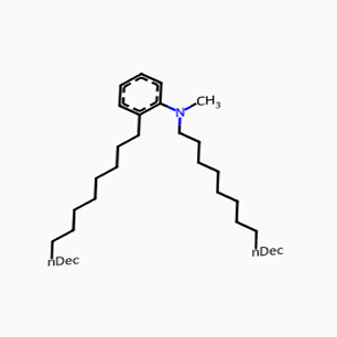 CCCCCCCCCCCCCCCCCCc1ccccc1N(C)CCCCCCCCCCCCCCCCCC